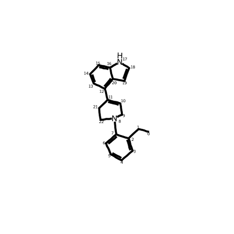 CCc1ccccc1N1CC=C(c2cccc3[nH]ccc23)CC1